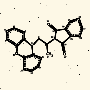 CC(CN1c2ccccc2Oc2ccccc21)N1C(=O)c2ccccc2C1=O